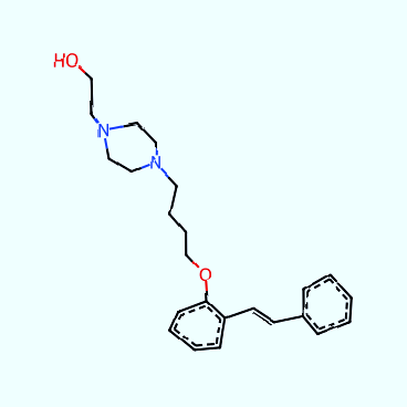 OCCN1CCN(CCCCOc2ccccc2/C=C/c2ccccc2)CC1